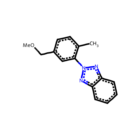 COCc1ccc(C)c(-n2nc3ccccc3n2)c1